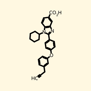 C#CCc1cccc(Oc2ccc(-c3nc4cc(C(=O)O)ccc4n3C3CCCCC3)cc2)c1